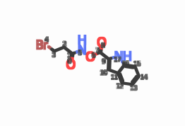 O=C(CCBr)NOC(=O)c1cc2ccccc2[nH]1